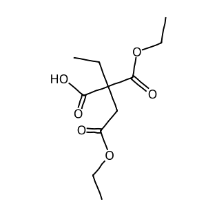 CCOC(=O)CC(CC)(C(=O)O)C(=O)OCC